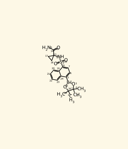 CC1(C)OB(c2ccc(S(=O)(=O)NC3(C(N)=O)CC3)c3ccccc23)OC1(C)C